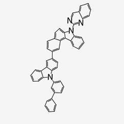 c1ccc(-c2cccc(-n3c4ccccc4c4cc(-c5ccc6ccc7c(c6c5)c5ccccc5n7-c5ncc6ccccc6n5)ccc43)c2)cc1